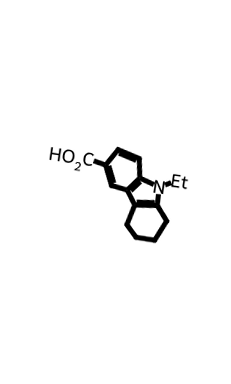 CCn1c2c(c3cc(C(=O)O)ccc31)CCCC2